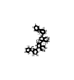 c1ccc2c(c1)sc1c(-c3cc4oc5cc(-c6cccc7c6sc6ccccc67)c6cnccc6c5c4c4ccncc34)cccc12